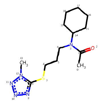 CC(=O)N(CCCSc1nnnn1C)C1CCCCC1